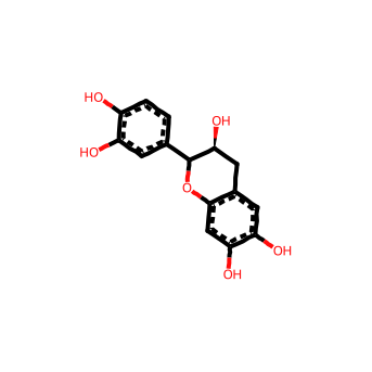 Oc1ccc(C2Oc3cc(O)c(O)cc3C[C@@H]2O)cc1O